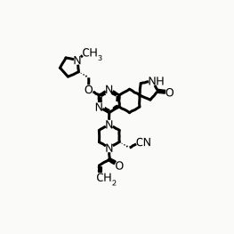 C=CC(=O)N1CCN(c2nc(OC[C@@H]3CCCN3C)nc3c2CCC2(CNC(=O)C2)C3)C[C@@H]1CC#N